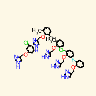 Cc1cccc(C)c1OCc1c[nH]cn1.Cc1ccccc1OCc1c[nH]cn1.Clc1cccc(OCc2c[nH]cn2)c1.Clc1ccccc1OCc1c[nH]cn1.Fc1ccccc1OCc1c[nH]cn1